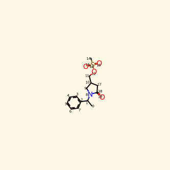 CC(c1ccccc1)N1CC(COS(C)(=O)=O)CC1=O